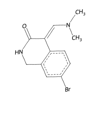 CN(C)/C=C1/C(=O)NCc2cc(Br)ccc21